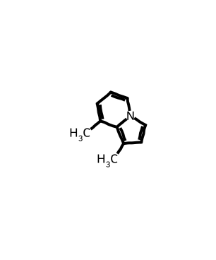 Cc1cccn2ccc(C)c12